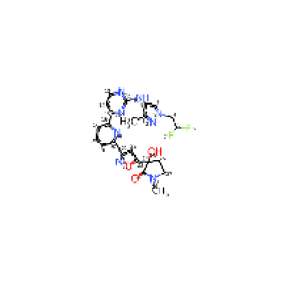 Cc1nn(CC(F)F)cc1Nc1nccc(-c2cccc(-c3cc(C4(O)CCN(C)C4=O)on3)n2)n1